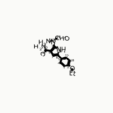 CCOc1ccc(-c2cc(C(N)=O)c(N(N)C=O)[nH]2)cc1